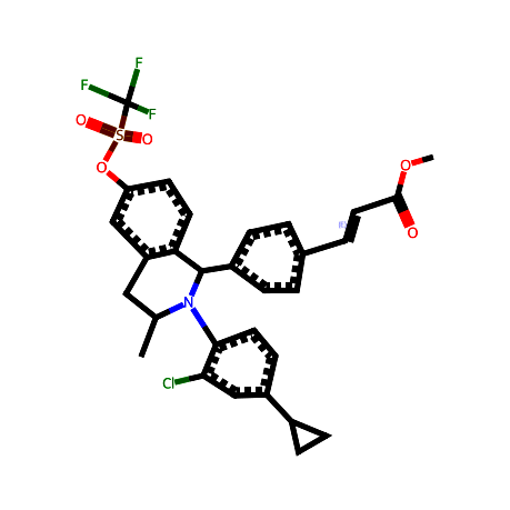 COC(=O)/C=C/c1ccc(C2c3ccc(OS(=O)(=O)C(F)(F)F)cc3CC(C)N2c2ccc(C3CC3)cc2Cl)cc1